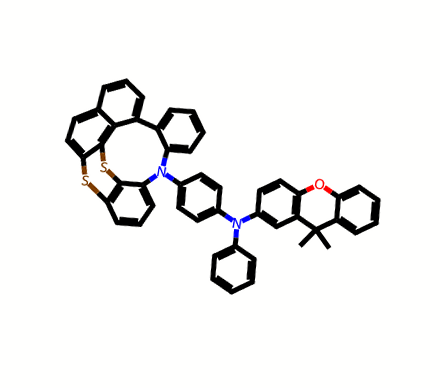 CC1(C)c2ccccc2Oc2ccc(N(c3ccccc3)c3ccc(N4c5ccccc5-c5cccc6ccc7c(c56)Sc5c(cccc54)S7)cc3)cc21